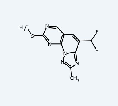 CSc1ncc2cc(C(F)F)c3nc(C)nn3c2n1